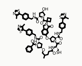 Cc1ncsc1-c1ccc(CNC(=O)[C@@H]2C[C@@H](OCC(C)CCC(=O)N[C@@H](CS)C(=O)N3C[C@H](Oc4ccc5c(c4)C(=O)N(C4(C(=O)N6C[C@H](O)C[C@H]6C(=O)NCc6ccc(-c7scnc7C)cc6)CCC4)C5)C[C@H]3C(=O)NCc3ccc(-c4scnc4C)cc3)CN2C(=O)c2ccccc2)cc1